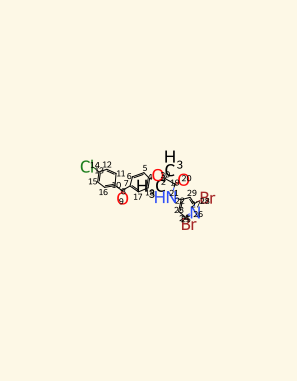 CC(C)(Oc1ccc(C(=O)c2ccc(Cl)cc2)cc1)C(=O)Nc1cc(Br)nc(Br)c1